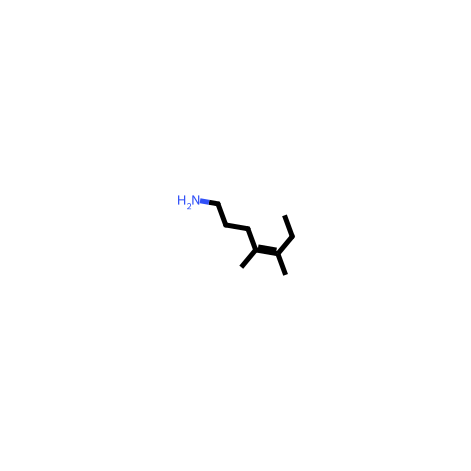 CCC(C)=C(C)CCCN